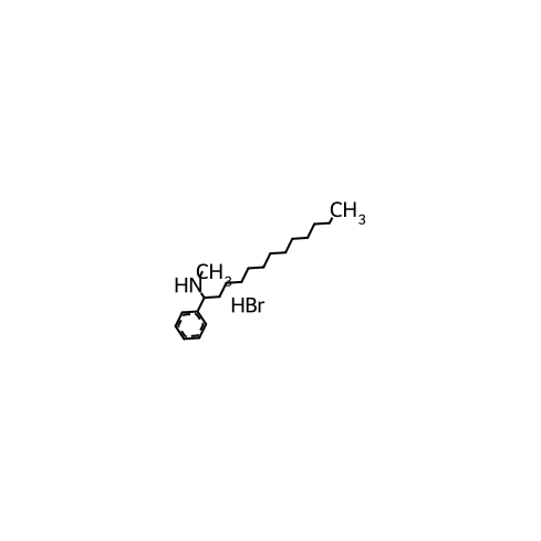 Br.CCCCCCCCCCCCC(NC)c1ccccc1